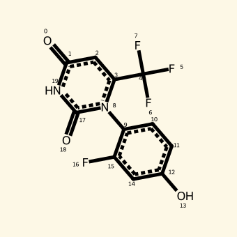 O=c1cc(C(F)(F)F)n(-c2ccc(O)cc2F)c(=O)[nH]1